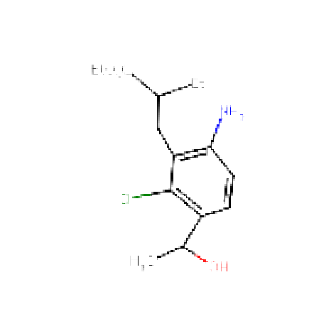 CCOC(=O)C(CC)Cc1c(N)ccc(C(C)O)c1Cl